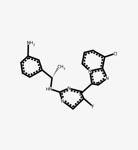 C[C@H](Nc1ncc(F)c(-c2cnc3c(Cl)cccn23)n1)c1cccc(N)c1